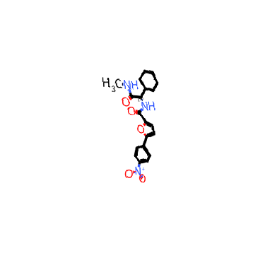 CNC(=O)[C@@H](NC(=O)c1ccc(-c2ccc([N+](=O)[O-])cc2)o1)C1CCCCC1